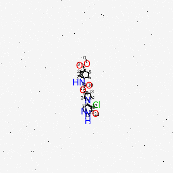 COC(=O)C12CCC(NC(=O)O[C@@H]3CCN(c4cn[nH]c(=O)c4Cl)C3)(CC1)C2